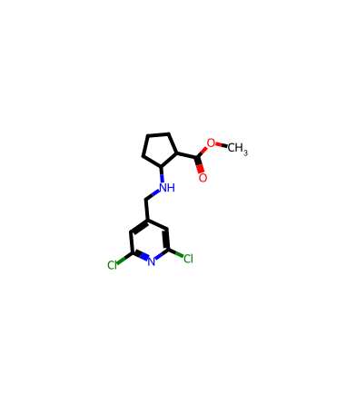 COC(=O)C1CCCC1NCc1cc(Cl)nc(Cl)c1